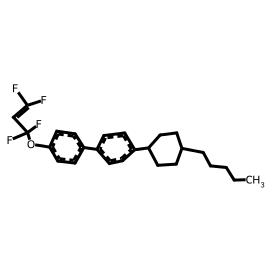 CCCCCC1CCC(c2ccc(-c3ccc(OC(F)(F)C=C(F)F)cc3)cc2)CC1